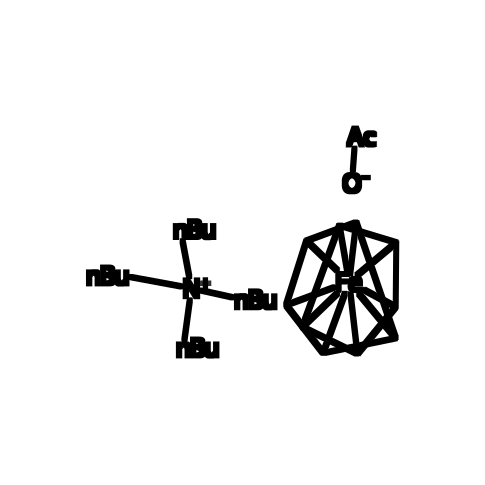 CC(=O)[O-].CCCC[N+](CCCC)(CCCC)CCCC.[CH]12[CH]3[CH]4[CH]5[CH]1[Fe]23451678[CH]2[CH]1[CH]6[CH]7[CH]28